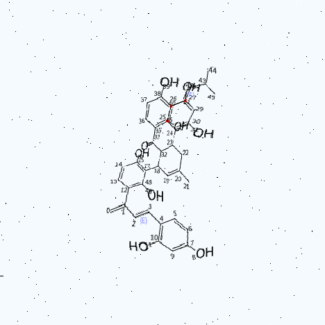 C=C(/C=C/c1ccc(O)cc1O)c1ccc(O)c(C2C=C(C)CC(c3ccc(O)cc3O)C2C(=O)c2ccc(O)c(/C=C/C(C)C)c2O)c1O